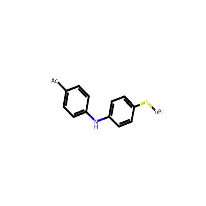 CCCSc1ccc(Nc2ccc(C(C)=O)cc2)cc1